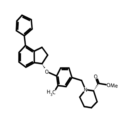 COC(=O)[C@@H]1CCCCN1Cc1ccc(O[C@H]2CCc3c(-c4ccccc4)cccc32)c(C)c1